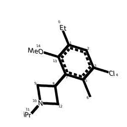 [CH2]Cc1cc(Cl)c(C)c(C2CN(C(C)C)C2)c1OC